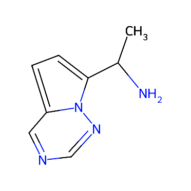 CC(N)c1ccc2cncnn12